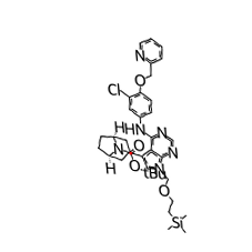 CC(C)(C)OC(=O)N1[C@@H]2CC[C@H]1CC(c1cn(COCC[Si](C)(C)C)c3ncnc(Nc4ccc(OCc5ccccn5)c(Cl)c4)c13)C2